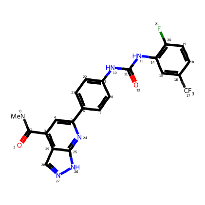 CNC(=O)c1cc(-c2ccc(NC(=O)Nc3cc(C(F)(F)F)ccc3F)cc2)nc2[nH]ncc12